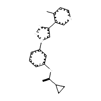 O=C(O)c1ccncc1-c1cn(-c2cccc(NC(=O)C3CC3)c2)nn1